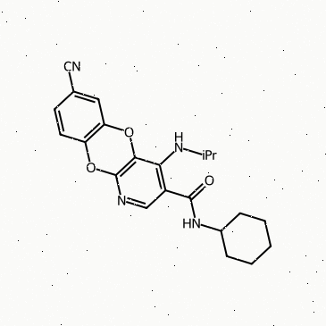 CC(C)Nc1c(C(=O)NC2CCCCC2)cnc2c1Oc1cc(C#N)ccc1O2